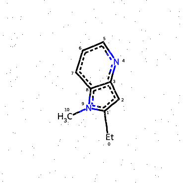 CCc1cc2ncccc2n1C